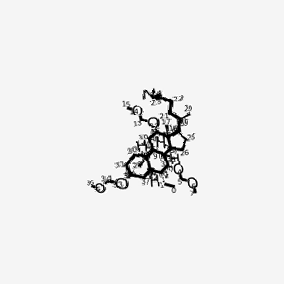 CC[C@H]1[C@@H](OCOC)[C@@H]2[C@H](C[C@H](OCOC)[C@]3(C)[C@@H]([C@H](C)CCC#N)CC[C@@H]23)[C@@]2(C)CC[C@@H](OCOC)C[C@@H]12